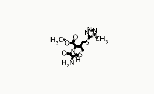 CCOC(=O)C1=C(CSc2nnnn2C)CS[C@@H]2C(N)C(=O)N12